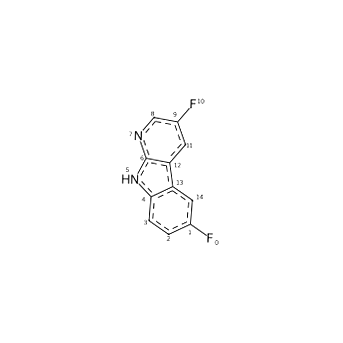 Fc1ccc2[nH]c3ncc(F)cc3c2c1